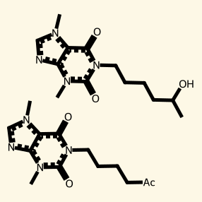 CC(=O)CCCCn1c(=O)c2c(ncn2C)n(C)c1=O.CC(O)CCCCn1c(=O)c2c(ncn2C)n(C)c1=O